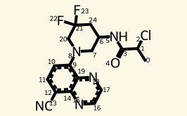 CC(Cl)C(=O)NC1CN(c2ccc(C#N)c3nccnc23)CC(F)(F)C1